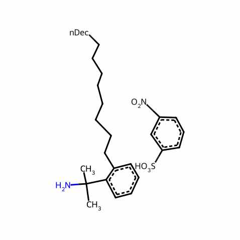 CCCCCCCCCCCCCCCCCCc1ccccc1C(C)(C)N.O=[N+]([O-])c1cccc(S(=O)(=O)O)c1